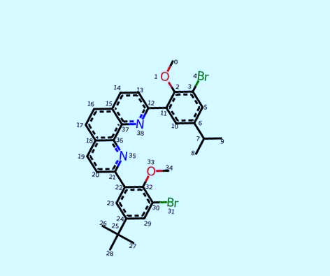 COc1c(Br)cc(C(C)C)cc1-c1ccc2ccc3ccc(-c4cc(C(C)(C)C)cc(Br)c4OC)nc3c2n1